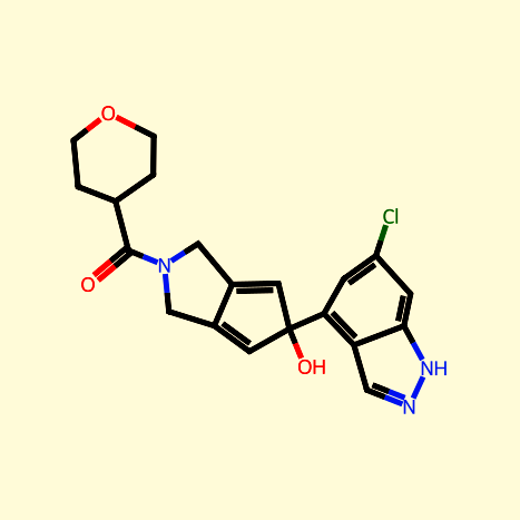 O=C(C1CCOCC1)N1CC2=CC(O)(c3cc(Cl)cc4[nH]ncc34)C=C2C1